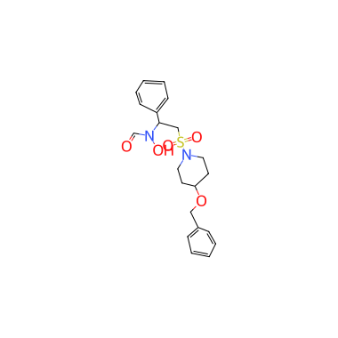 O=CN(O)C(CS(=O)(=O)N1CCC(OCc2ccccc2)CC1)c1ccccc1